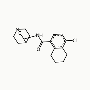 O=C(NC1CN2CCC1CC2)c1ccc(Cl)c2c1CCCC2